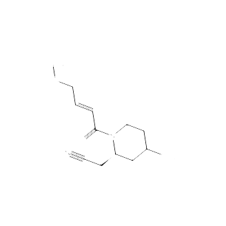 COC/C=C/C(=O)N1CCC(C)C[C@H]1CC#N